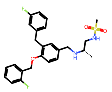 C[C@@H](CNS(C)(=O)=O)NCc1ccc(OCc2ccccc2F)c(Cc2cccc(F)c2)c1